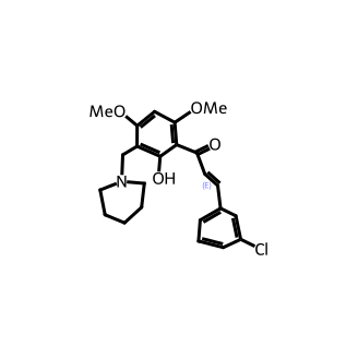 COc1cc(OC)c(C(=O)/C=C/c2cccc(Cl)c2)c(O)c1CN1CCCCC1